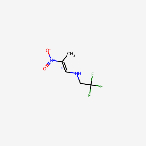 C/C(=C\NCC(F)(F)F)[N+](=O)[O-]